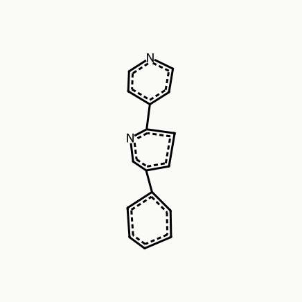 c1ccc(-c2ccc(-c3ccncc3)nc2)cc1